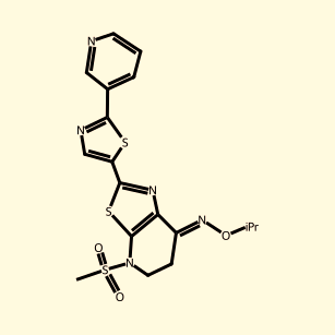 CC(C)O/N=C1\CCN(S(C)(=O)=O)c2sc(-c3cnc(-c4cccnc4)s3)nc21